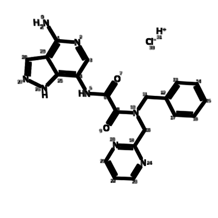 Nc1ncc(NC(=O)C(=O)N(Cc2ccccc2)Cc2ncccn2)c2[nH]ncc12.[Cl-].[H+]